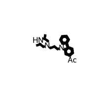 CC(=O)c1ccc2c3ccccc3n(CCCN3CC(C)NC(C)C3)c2c1